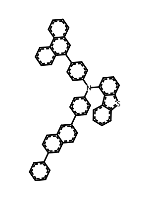 c1ccc(-c2ccc3cc(-c4ccc(N(c5ccc(-c6cc7ccccc7c7ccccc67)cc5)c5cccc6sc7ccccc7c56)cc4)ccc3c2)cc1